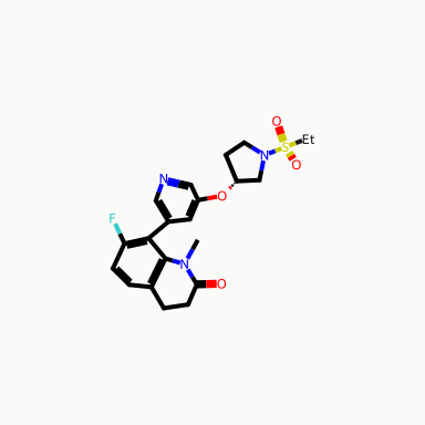 CCS(=O)(=O)N1CC[C@@H](Oc2cncc(-c3c(F)ccc4c3N(C)C(=O)CC4)c2)C1